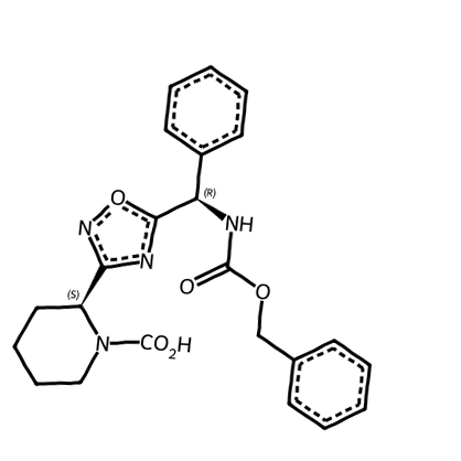 O=C(N[C@H](c1ccccc1)c1nc([C@@H]2CCCCN2C(=O)O)no1)OCc1ccccc1